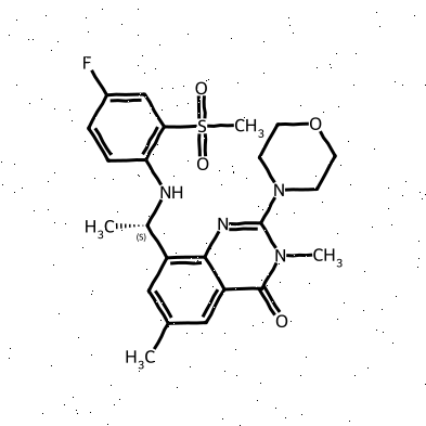 Cc1cc([C@H](C)Nc2ccc(F)cc2S(C)(=O)=O)c2nc(N3CCOCC3)n(C)c(=O)c2c1